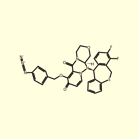 [N-]=[N+]=Nc1ccc(COc2c3n(ccc2=O)N([C@@H]2c4ccccc4SCc4c2ccc(F)c4F)[C@@H]2COCCN2C3=O)cc1